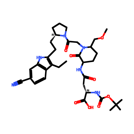 CCc1c(CC[C@@H]2CCCN2C(=O)CN2C(=O)C(NC(=O)C[C@H](NC(=O)OC(C)(C)C)C(=O)O)CCC2COC)[nH]c2cc(C#N)ccc12